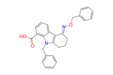 O=C(O)c1cccc2c3c(n(Cc4ccccc4)c12)CCCC3=NOCc1ccccc1